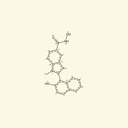 Cn1c(-c2c(O)ccc3ccccc23)nc2cc(C(=O)NO)ccc21